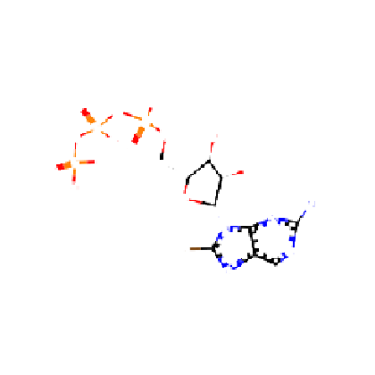 Nc1ncc2nc(Br)n([C@@H]3O[C@H](COP(=O)(O)OP(=O)(O)OP(=O)(O)O)[C@@H](O)[C@H]3O)c2n1